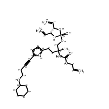 C=CCOC(=O)NC(C)(CCc1ccc(C#CCCOC2CCCCC2)o1)COP(=O)(OCC=C)OCC=C